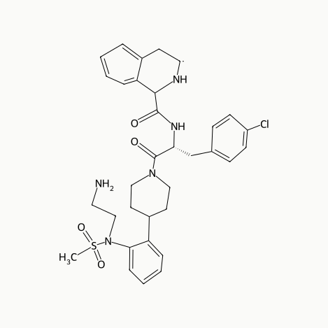 CS(=O)(=O)N(CCN)c1ccccc1C1CCN(C(=O)[C@@H](Cc2ccc(Cl)cc2)NC(=O)C2N[CH]Cc3ccccc32)CC1